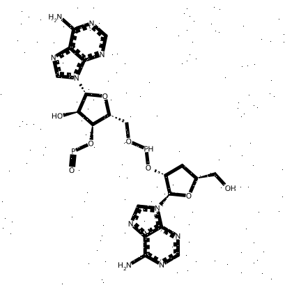 Nc1ncnc2c1ncn2[C@@H]1O[C@H](COPO[C@@H]2C[C@@H](CO)O[C@H]2n2cnc3c(N)ncnc32)[C@@H](OP=O)[C@H]1O